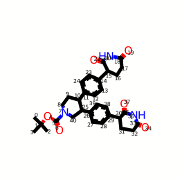 CC(C)(C)OC(=O)N1CCC(c2ccc(C3CCC(=O)NC3=O)cc2)C(c2ccc(C3CCC(=O)NC3=O)cc2)C1